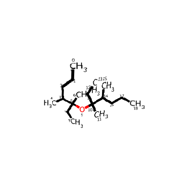 CCCC(C)C(C)(CC)OC(C)(CC)C(C)CCC